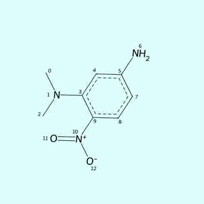 CN(C)c1cc(N)ccc1[N+](=O)[O-]